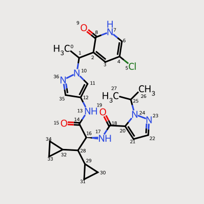 CC(c1cc(Cl)c[nH]c1=O)n1cc(NC(=O)[C@@H](NC(=O)c2ccnn2C(C)C)C(C2CC2)C2CC2)cn1